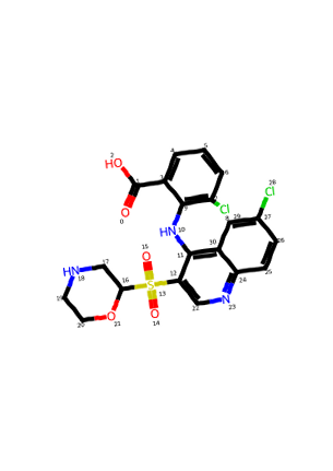 O=C(O)c1cccc(Cl)c1Nc1c(S(=O)(=O)C2CNCCO2)cnc2ccc(Cl)cc12